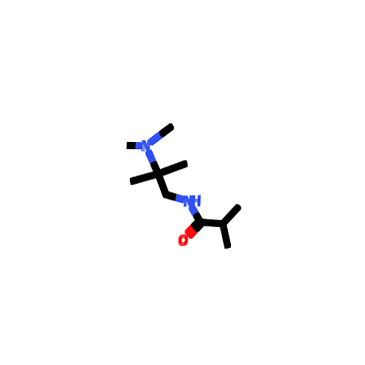 CC(C)C(=O)NCC(C)(C)N(C)C